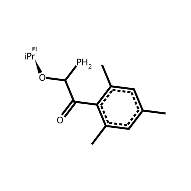 [CH2][C@H](C)OC(P)C(=O)c1c(C)cc(C)cc1C